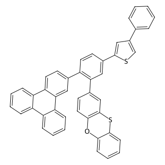 c1ccc(-c2csc(-c3ccc(-c4ccc5c6ccccc6c6ccccc6c5c4)c(-c4ccc5c(c4)Sc4ccccc4O5)c3)c2)cc1